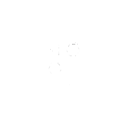 O=C(O)c1ccc(CN(C2CCCC(CF)C2)S(=O)(=O)c2ccc(Cl)nc2)cc1